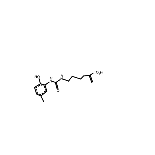 C=C(CCCCNC(=O)Nc1cc(C)ccc1O)C(=O)O